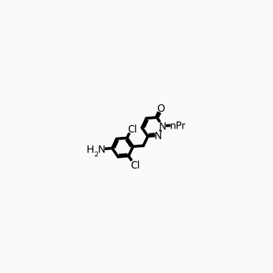 CCCn1nc(Cc2c(Cl)cc(N)cc2Cl)ccc1=O